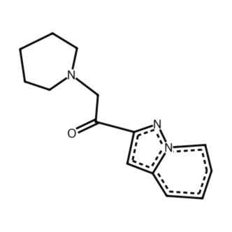 O=C(CN1CCCCC1)c1cc2ccccn2n1